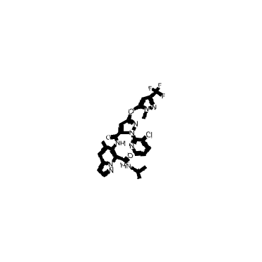 Cc1cc2ccnn2c(C(=O)NC(C)C)c1NC(=O)c1cc(Oc2cc(C(F)(F)F)nn2C)nn1-c1ncccc1Cl